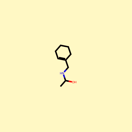 CC(O)NCC1=CCCCC1